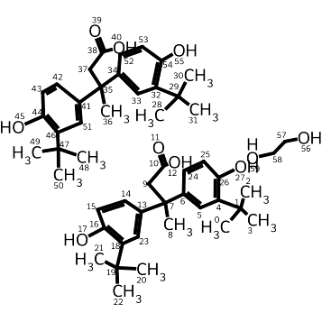 CC(C)(C)c1cc(C(C)(CC(=O)O)c2ccc(O)c(C(C)(C)C)c2)ccc1O.CC(C)(C)c1cc(C(C)(CC(=O)O)c2ccc(O)c(C(C)(C)C)c2)ccc1O.OCCO